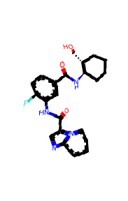 O=C(N[C@@H]1CCCC[C@H]1CO)c1ccc(F)c(NC(=O)c2cnc3ccccn23)c1